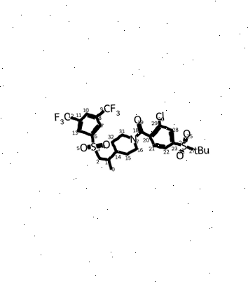 CC(CS(=O)(=O)c1cc(C(F)(F)F)cc(C(F)(F)F)c1)C1CCN(C(=O)c2ccc(S(=O)(=O)C(C)(C)C)cc2Cl)CC1